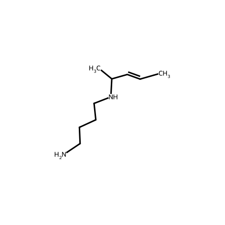 C/C=C/C(C)NCCCCN